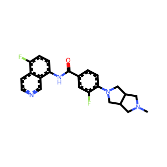 CN1CC2CN(c3ccc(C(=O)Nc4ccc(F)c5ccncc45)cc3F)CC2C1